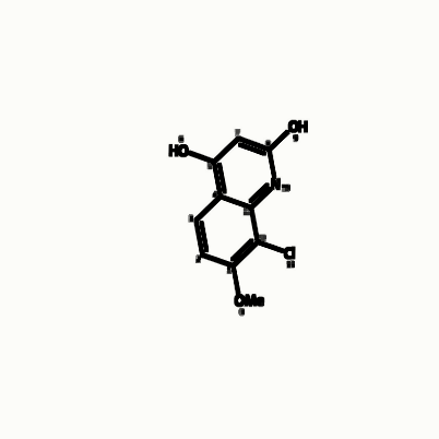 COc1ccc2c(O)cc(O)nc2c1Cl